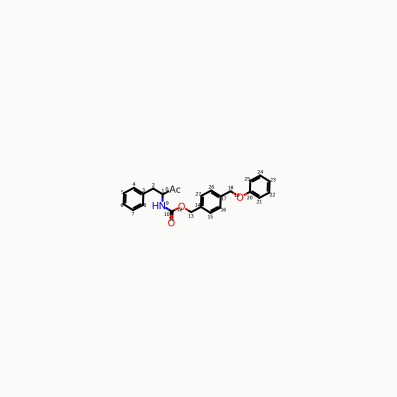 CC(=O)C(Cc1ccccc1)NC(=O)OCc1ccc(COc2ccccc2)cc1